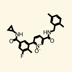 Cc1ccc(C)c(CNC(=O)c2ccc(-c3cc(C(=O)NC4CC4)cc(F)c3C)[n+]([O-])c2)c1